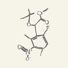 COC(=O)C(OC(C)(C)C)c1c(F)cc(I)c([N+](=O)[O-])c1C